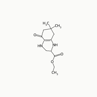 CCOC(=O)C1CNC2=C(CC(C)(C)CC2=O)N1